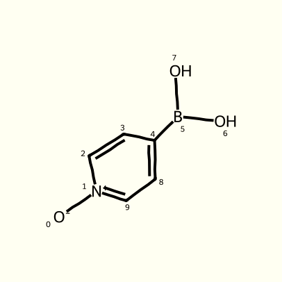 [O-][n+]1ccc(B(O)O)cc1